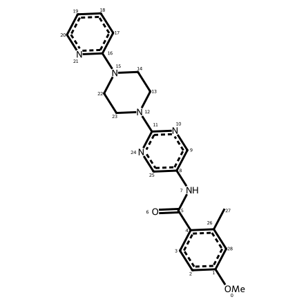 COc1ccc(C(=O)Nc2cnc(N3CCN(c4ccccn4)CC3)nc2)c(C)c1